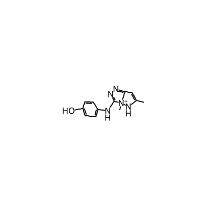 CC1=CC2=NN=C(Nc3ccc(O)cc3)[N+]2(C)N1